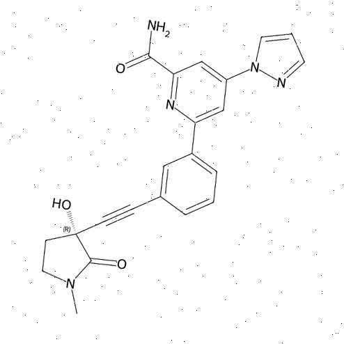 CN1CC[C@@](O)(C#Cc2cccc(-c3cc(-n4cccn4)cc(C(N)=O)n3)c2)C1=O